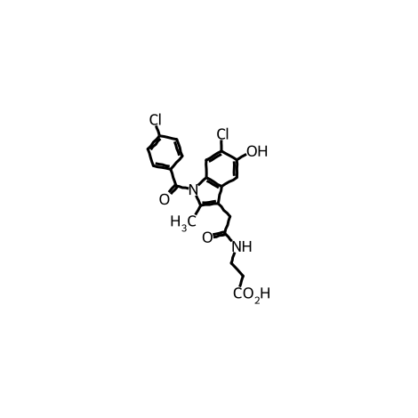 Cc1c(CC(=O)NCCC(=O)O)c2cc(O)c(Cl)cc2n1C(=O)c1ccc(Cl)cc1